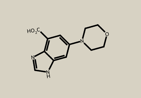 O=C(O)c1cc(N2CCOCC2)cc2[nH]cnc12